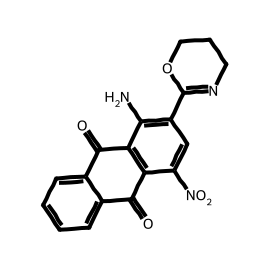 Nc1c(C2=NCCCO2)cc([N+](=O)[O-])c2c1C(=O)c1ccccc1C2=O